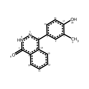 Cc1cc(-c2n[nH]c(=O)c3ccccc23)ccc1O